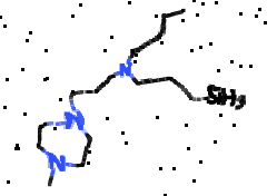 CCCCN(CCC[SiH3])CCCN1CCN(C)CC1